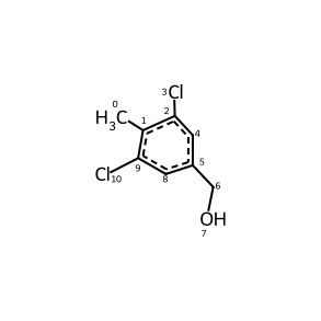 Cc1c(Cl)cc(CO)cc1Cl